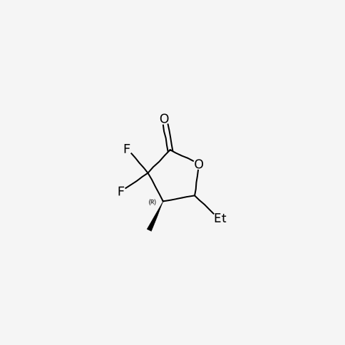 CCC1OC(=O)C(F)(F)[C@@H]1C